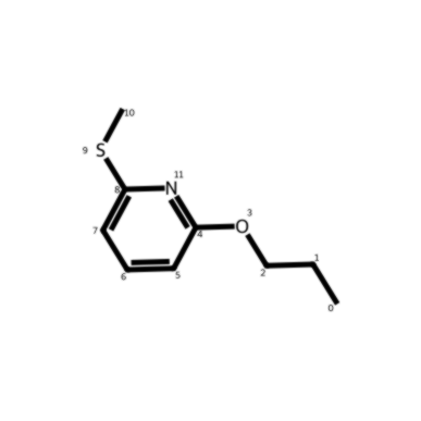 CCCOc1cccc(SC)n1